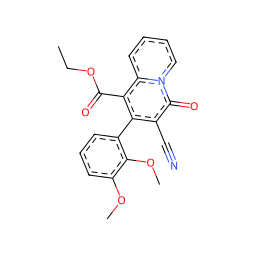 CCOC(=O)c1c(-c2cccc(OC)c2OC)c(C#N)c(=O)n2ccccc12